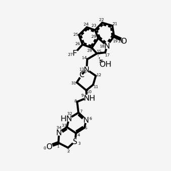 O=C1CSC2=CN=C(CNC3CCN(C[C@]4(O)Cn5c(=O)ccc6ccc(F)c4c65)CC3)NC2=N1